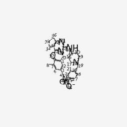 Cc1cc(C#N)cc(C)c1Oc1nc(NC2CCN(Cc3ccc([N+](=O)[O-])cc3)CC2)nc2c1CCC2